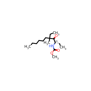 CCCCCCC(C)(CC)C(=O)[C@H](CC)NC(=O)OC